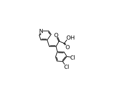 O=C(O)C(=O)/C(=C\c1ccncc1)c1ccc(Cl)c(Cl)c1